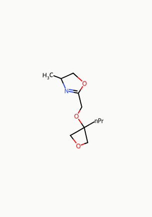 CCCC1(OCC2=NC(C)CO2)COC1